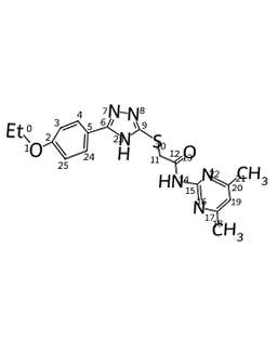 CCOc1ccc(-c2nnc(SCC(=O)Nc3nc(C)cc(C)n3)[nH]2)cc1